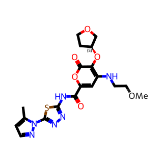 COCCNc1cc(C(=O)Nc2nnc(-n3nccc3C)s2)oc(=O)c1O[C@H]1CCOC1